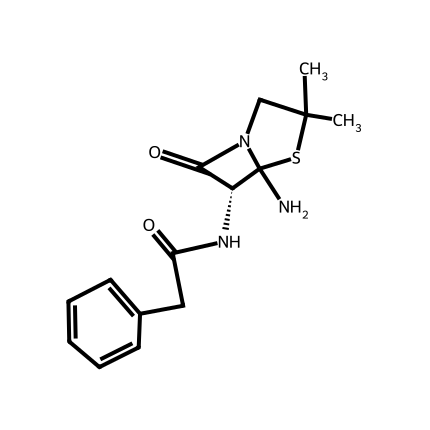 CC1(C)CN2C(=O)[C@@H](NC(=O)Cc3ccccc3)C2(N)S1